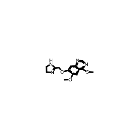 COc1cc2c(SC)ncnc2cc1OCC1=NCCN1